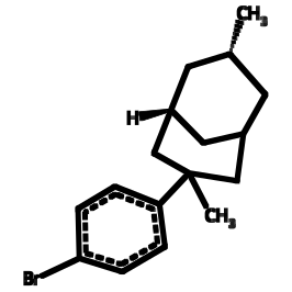 C[C@@H]1CC2C[C@@H](C1)CC(C)(c1ccc(Br)cc1)C2